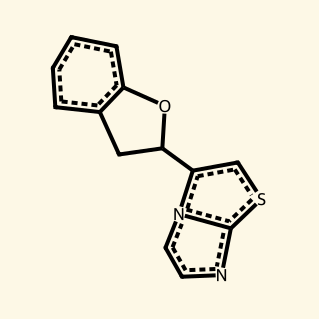 c1ccc2c(c1)CC(c1csc3nccn13)O2